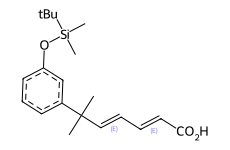 CC(C)(/C=C/C=C/C(=O)O)c1cccc(O[Si](C)(C)C(C)(C)C)c1